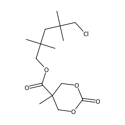 CC(C)(CCl)CC(C)(C)COC(=O)C1(C)COC(=O)OC1